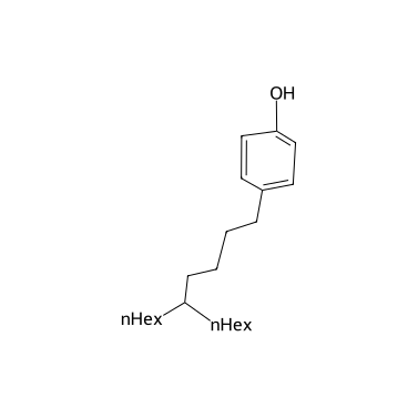 CCCCCCC(CCCCCC)CCCCc1ccc(O)cc1